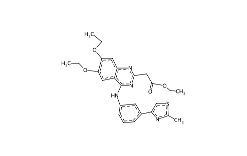 CCOC(=O)Cc1nc(Nc2cccc(-c3csc(C)n3)c2)c2cc(OCC)c(OCC)cc2n1